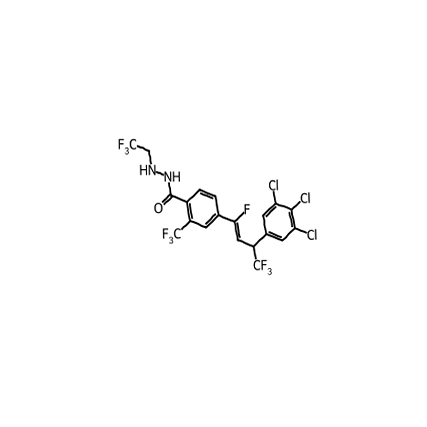 O=C(NNCC(F)(F)F)c1ccc(C(F)=CC(c2cc(Cl)c(Cl)c(Cl)c2)C(F)(F)F)cc1C(F)(F)F